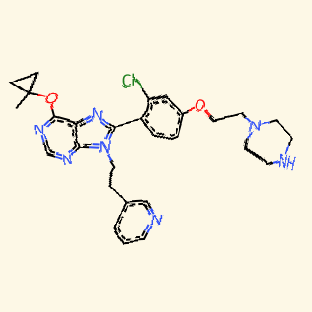 CC1(Oc2ncnc3c2nc(-c2ccc(OCCN4CCNCC4)cc2Cl)n3CCc2cccnc2)CC1